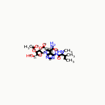 CCC(C)C(NC)C(=O)Nc1ncnc2c1c(C(N)=O)cn2[C@@H]1O[C@H](CO)C(OC(C)=O)[C@@H]1OC(C)=O